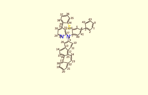 c1ccc(-c2ccc(N(c3ccc4c(ccc5c6ccccc6ccc45)c3)c3nccc4c3sc3ccccc34)cc2)cc1